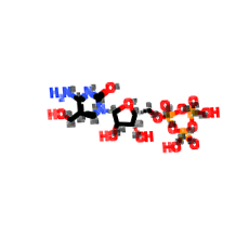 Nc1nc(=O)n([C@@H]2O[C@H](COP3(=O)OP(=O)(O)OP(=O)(O)O3)[C@H](O)C2O)cc1CO